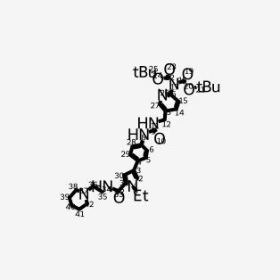 CCn1cc(-c2ccc(NC(=O)NCc3ccc(N(C(=O)OC(C)(C)C)C(=O)OC(C)(C)C)nc3)cc2)cc1C(=O)NCCN1CCCCC1